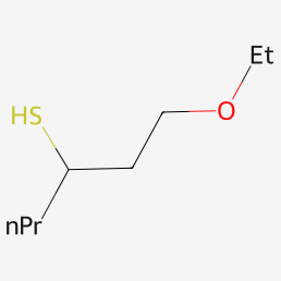 CCCC(S)CCOCC